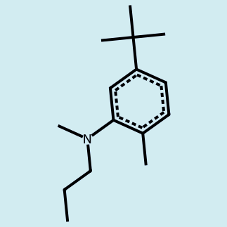 CCCN(C)c1cc(C(C)(C)C)ccc1C